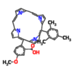 COc1ccc(C2=C3C=CC(=N3)C=C3C=CC(=N3)C=C3C=CC(=N3)C(c3c(C)cc(C)cc3C)=C3C=CC2=N3)c(C(=O)O)c1